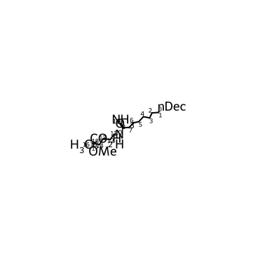 CCCCCCCCCCCCCCCCCC(=O)NCCCCC(C)(OC)C(=O)O.N